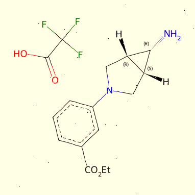 CCOC(=O)c1cccc(N2C[C@@H]3[C@H](N)[C@@H]3C2)c1.O=C(O)C(F)(F)F